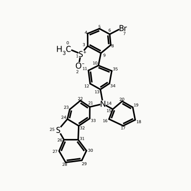 C[S+]([O-])c1ccc(Br)cc1-c1ccc(N(c2ccccc2)c2ccc3sc4ccccc4c3c2)cc1